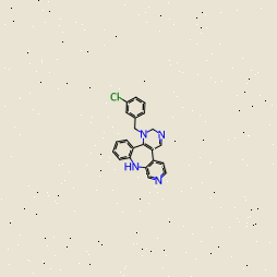 Clc1cccc(CN2CN=CC3=C2c2ccccc2Nc2cnccc23)c1